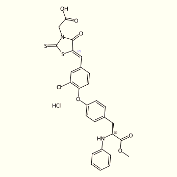 COC(=O)[C@H](Cc1ccc(Oc2ccc(/C=C3\SC(=S)N(CC(=O)O)C3=O)cc2Cl)cc1)Nc1ccccc1.Cl